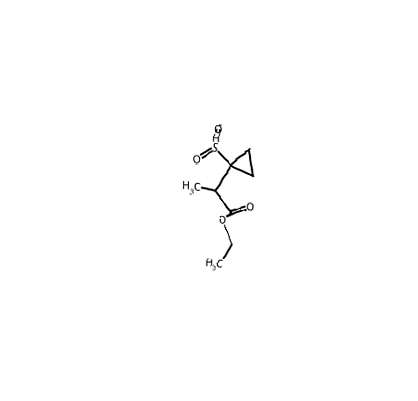 CCOC(=O)C(C)C1([SH](=O)=O)CC1